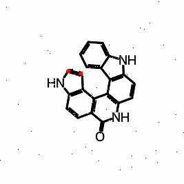 O=c1[nH]c2ccc3[nH]c4ccccc4c3c2c2c1ccc1[nH]c3ccccc3c12